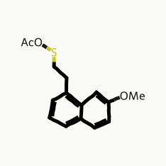 COc1ccc2cccc(CCSOC(C)=O)c2c1